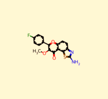 COc1c(-c2ccc(F)cc2)oc2ccc3nc(N)sc3c2c1=O